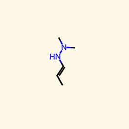 CC=CNN(C)C